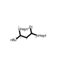 CCCCCCCC([CH]C(CCCC)CCCCCCC)CC